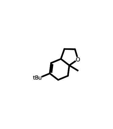 CC(C)(C)C1=CC2CCOC2(C)CC1